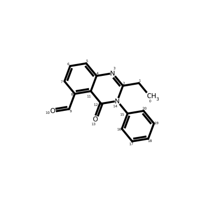 CCc1nc2cccc(C=O)c2c(=O)n1-c1ccccc1